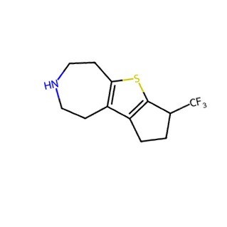 FC(F)(F)C1CCc2c1sc1c2CCNCC1